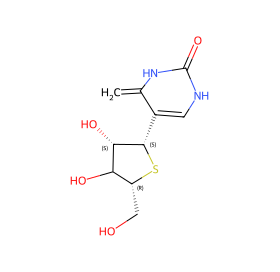 C=C1NC(=O)NC=C1[C@@H]1S[C@H](CO)C(O)[C@@H]1O